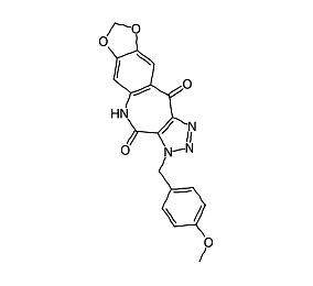 COc1ccc(Cn2nnc3c(=O)c4cc5c(cc4[nH]c(=O)c32)OCO5)cc1